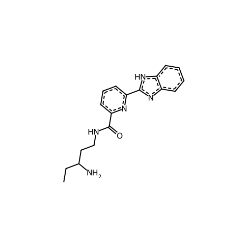 CCC(N)CCNC(=O)c1cccc(-c2nc3ccccc3[nH]2)n1